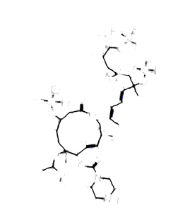 CCOC(C)O[C@]1(C)CCC(O[Si](CC)(CC)CC)CC(=O)O[C@H](/C(C)=C/C=C/C(C)(C[C@H]2O[C@@H]2[C@H](C)[C@H](CC)O[Si](CC)(CC)CC)O[Si](CC)(CC)CC)[C@@H](C)/C=C/[C@@H]1OC(=O)N1CCNCC1